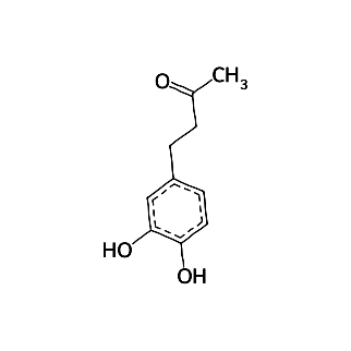 CC(=O)CCc1ccc(O)c(O)c1